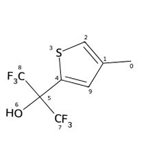 Cc1csc(C(O)(C(F)(F)F)C(F)(F)F)c1